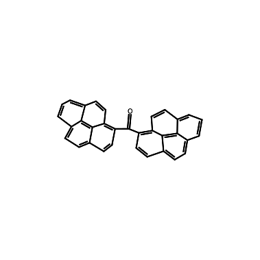 O=C(c1ccc2ccc3cccc4ccc1c2c34)c1ccc2ccc3cccc4ccc1c2c34